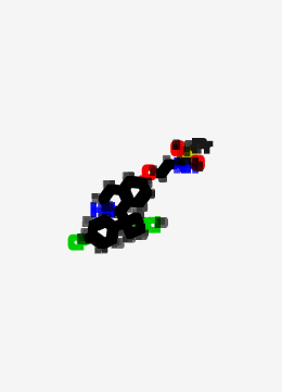 CC(C)S(=O)(=O)NCCOc1ccc2c(c1)CCNC2C1(c2ccc(Cl)cc2)CCC1.Cl